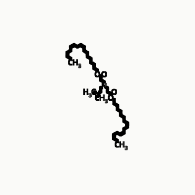 CC/C=C\C/C=C\C/C=C\CCCCCCCCOC(=O)CCN(CCC(=O)OCCCCCCCC/C=C\C/C=C\C/C=C\CC)CCN(C)C